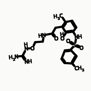 Cc1cccc(S(=O)(=O)Nc2ccc(C)c(CC(=O)NCCONC(=N)N)c2O)c1